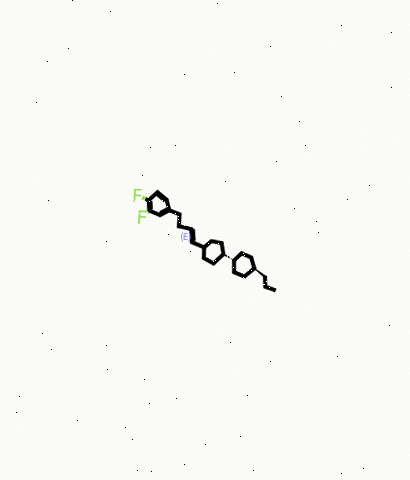 CCC[C@H]1CC[C@H](C2CCC(/C=C/CCc3ccc(F)c(F)c3)CC2)CC1